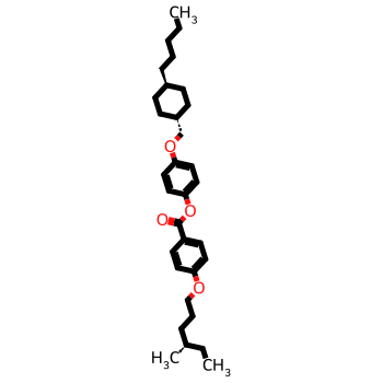 CCCCC[C@H]1CC[C@H](COc2ccc(OC(=O)c3ccc(OCCC[C@@H](C)CC)cc3)cc2)CC1